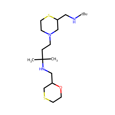 CC(C)(C)NCC1CN(CCC(C)(C)NCC2CSCCO2)CCS1